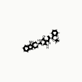 C=C(c1n[nH]c2nc(N3CCC4(CC3)Cc3ccccc3[C@H]4N)[nH]c(=O)c12)[C@@H]1OC(F)(F)Oc2ccccc21